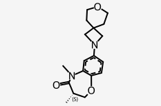 C[C@H]1COc2ccc(N3CC4(CCOCC4)C3)cc2N(C)C1=O